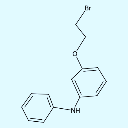 BrCCOc1cccc(Nc2ccccc2)c1